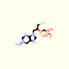 NN1C=Nc2c(ncn2CC(CF)OCP(=O)(O)O)C1